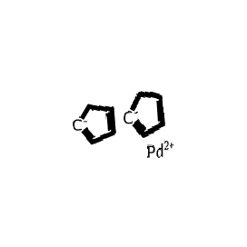 [C-]1=CC=CC1.[C-]1=CC=CC1.[Pd+2]